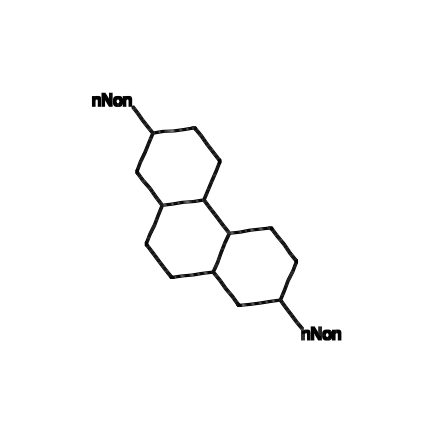 CCCCCCCCCC1CCC2C(CCC3CC(CCCCCCCCC)CCC32)C1